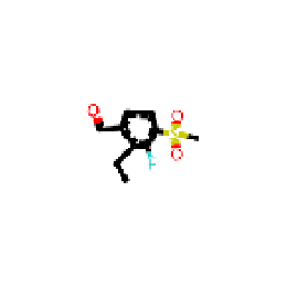 CCc1c(C=O)ccc(S(C)(=O)=O)c1F